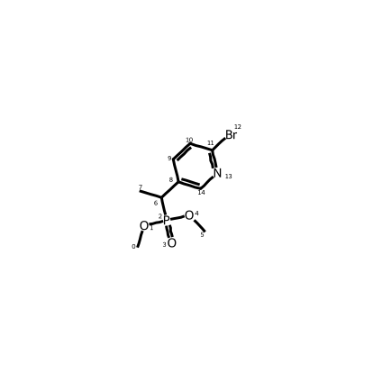 COP(=O)(OC)C(C)c1ccc(Br)nc1